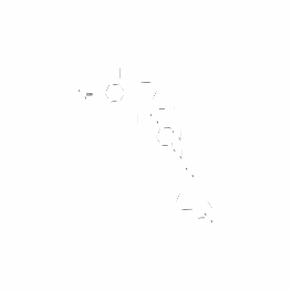 CC1=CC=C(C(=O)Nc2ccc(N3CCN(CC4C=CC=C5C=NC=CC54)CC3)nc2)CC1c1ccc(C#N)cc1